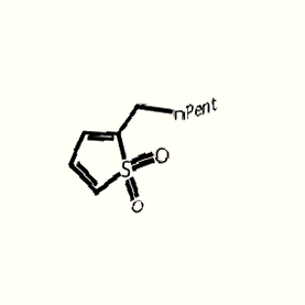 CCCCCCC1=CC=CS1(=O)=O